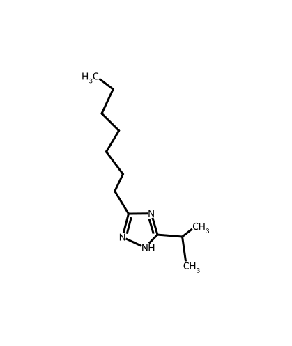 CCCCCCCc1n[nH]c(C(C)C)n1